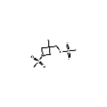 CC1(COS(C)(=O)=O)CN(S(C)(=O)=O)C1